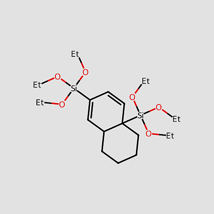 CCO[Si](OCC)(OCC)C1=CC2CCCCC2([Si](OCC)(OCC)OCC)C=C1